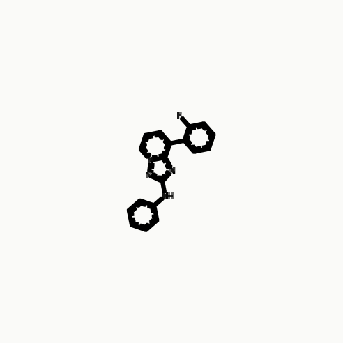 Fc1ccccc1-c1cccn2nc(Nc3ccccc3)nc12